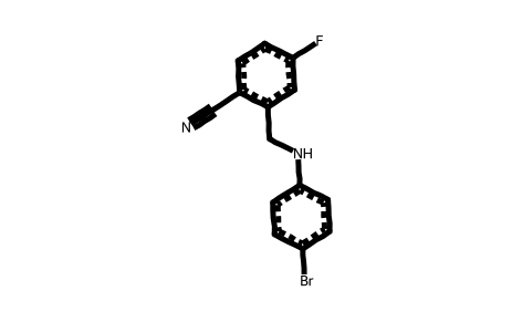 N#Cc1ccc(F)cc1CNc1ccc(Br)cc1